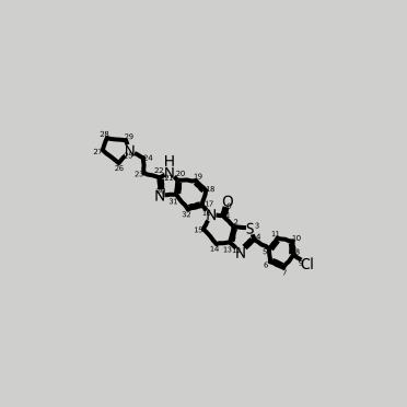 O=C1c2sc(-c3ccc(Cl)cc3)nc2CCN1c1ccc2[nH]c(CCN3CCCC3)nc2c1